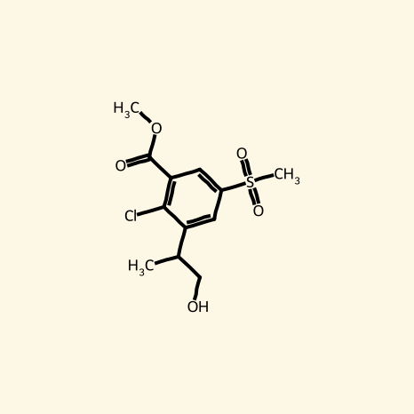 COC(=O)c1cc(S(C)(=O)=O)cc(C(C)CO)c1Cl